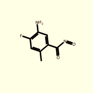 Cc1cc(F)c(N)cc1C(=O)N=O